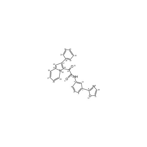 O=C(Nc1cccc(-c2ncco2)c1)C(=O)c1c(-c2ccccc2)cc2ccccn12